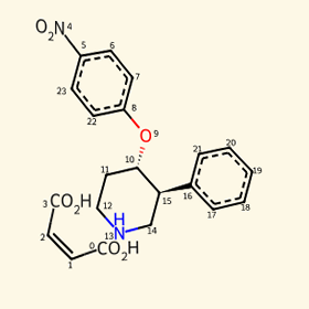 O=C(O)/C=C\C(=O)O.O=[N+]([O-])c1ccc(O[C@H]2CCNC[C@@H]2c2ccccc2)cc1